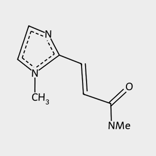 CNC(=O)/C=C/c1nccn1C